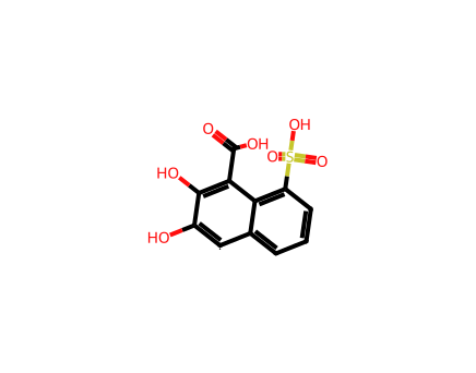 O=C(O)c1c(O)c(O)[c]c2cccc(S(=O)(=O)O)c12